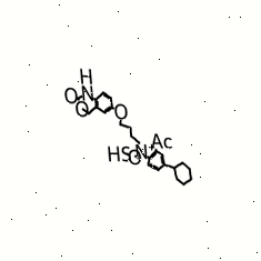 CC(=O)c1cc(C2CCCCC2)ccc1[N+](=CCCCOc1ccc2c(c1)COC(=O)N2)OS